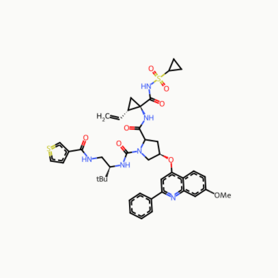 C=C[C@@H]1C[C@]1(NC(=O)C1C[C@@H](Oc2cc(-c3ccccc3)nc3cc(OC)ccc23)CN1C(=O)N[C@H](CNC(=O)c1ccsc1)C(C)(C)C)C(=O)NS(=O)(=O)C1CC1